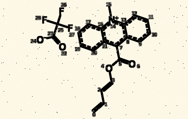 C=C/C=C/OC(=O)c1c2ccccc2[n+](C)c2ccccc12.O=C([O-])C(F)(F)F